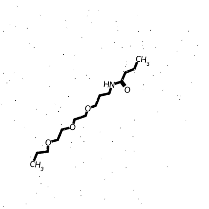 CCCOCCOCCOCCCNC(=O)CCC